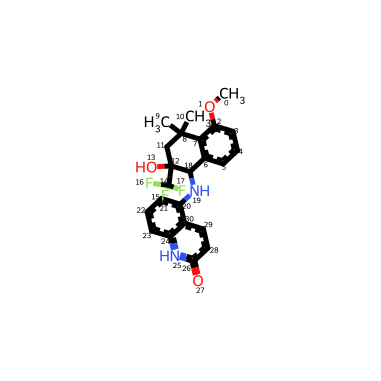 COc1cccc2c1C(C)(C)CC(O)(C(F)(F)F)C2Nc1cccc2[nH]c(=O)ccc12